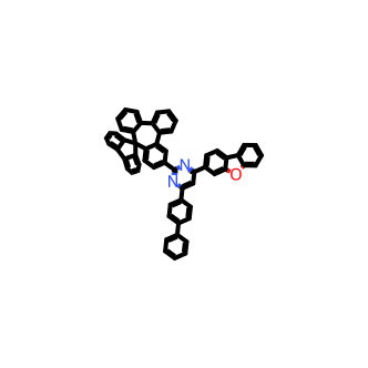 c1ccc(-c2ccc(-c3cc(-c4ccc5c(c4)oc4ccccc45)nc(-c4ccc5c(c4)-c4ccccc4-c4ccccc4C54c5ccccc5-c5ccccc54)n3)cc2)cc1